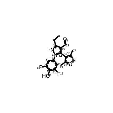 CCc1nn(-c2cc(F)c(O)c(F)c2)c(-c2c(C)noc2C)c1C=O